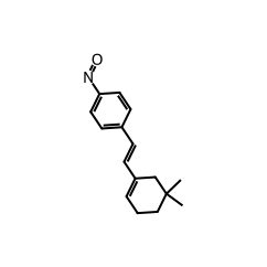 CC1(C)CCC=C(C=Cc2ccc(N=O)cc2)C1